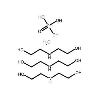 O.O=P(O)(O)O.OCCNCCO.OCCNCCO.OCCNCCO